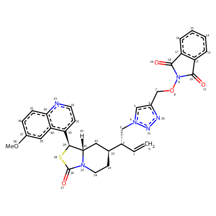 C=C[C@@H](Cn1cc(CON2C(=O)c3ccccc3C2=O)nn1)[C@H]1CCN2C(=O)S[C@@H](c3ccnc4ccc(OC)cc34)[C@@H]2C1